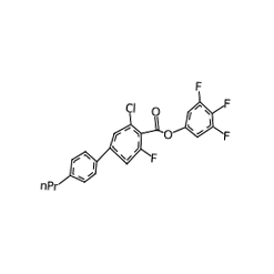 CCCc1ccc(-c2cc(F)c(C(=O)Oc3cc(F)c(F)c(F)c3)c(Cl)c2)cc1